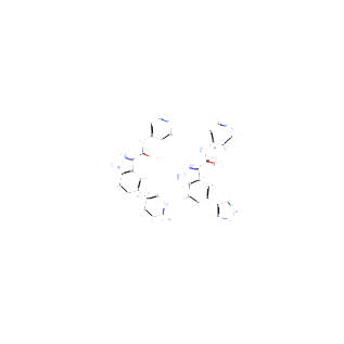 O=C(Nc1ccncc1)c1n[nH]c2ccc(-c3ccc(Cl)nc3)cc12.O=C(Nc1ccncc1)c1n[nH]c2ccc(-c3cn[nH]c3)cc12